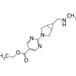 CCOC(=O)c1cnc(N2CC3C(CNC)C3C2)nc1